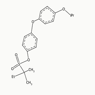 CCC(C)(C)S(=O)(=O)Oc1ccc(Oc2ccc(OC(C)C)cc2)cc1